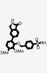 COc1ccc(-c2ccc3c(c2)CNC3=O)c(OCc2ccc(S(N)(=O)=O)cc2)c1OC